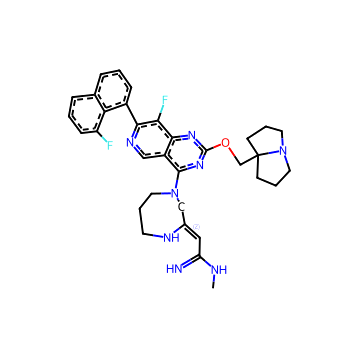 CNC(=N)/C=C1/CN(c2nc(OCC34CCCN3CCC4)nc3c(F)c(-c4cccc5cccc(F)c45)ncc23)CCCN1